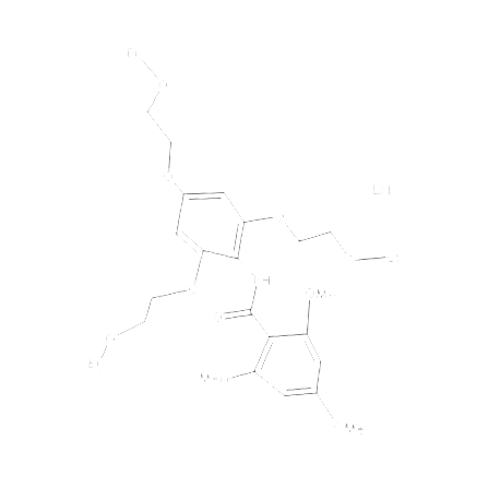 CCOCCOc1cc(OCCOCC)c(PC(=O)c2c(OC)cc(OC)cc2OC)c(OCCOCC)c1.[LiH]